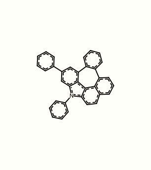 c1ccc(-c2cc3c4c5c6c(cccc6ccc5n(-c5ccccc5)c4c2)-c2ccccc2-3)cc1